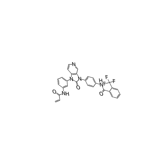 C=CC(=O)Nc1cccc(-n2c(=O)n(-c3ccc(NC(=O)c4ccccc4C(F)(F)F)cc3)c3cnccc32)c1